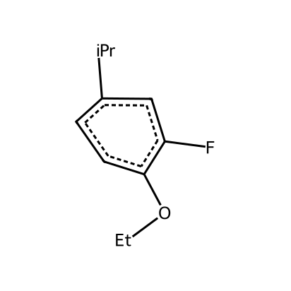 CCOc1ccc(C(C)C)cc1F